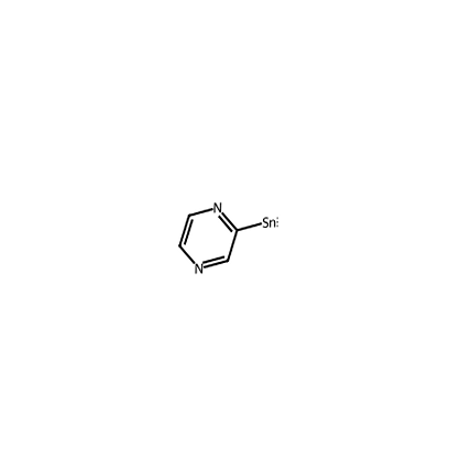 [Sn][c]1cnccn1